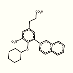 O=C(O)CCc1cc(-c2ccc3ccccc3c2)c(OC2CCCCC2)c([N+](=O)[O-])c1